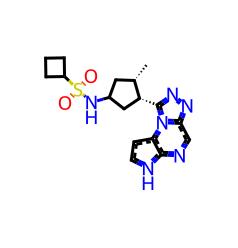 C[C@H]1CC(NS(=O)(=O)C2CCC2)C[C@H]1c1nnc2cnc3[nH]ccc3n12